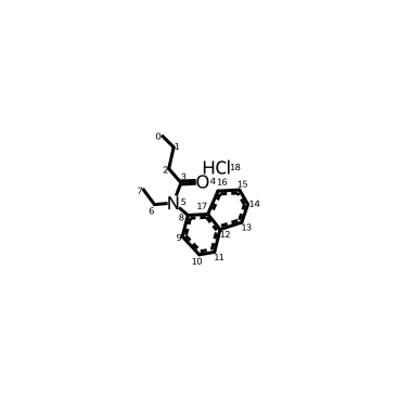 CCCC(=O)N(CC)c1cccc2ccccc12.Cl